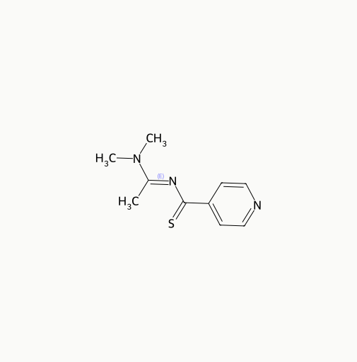 C/C(=N\C(=S)c1ccncc1)N(C)C